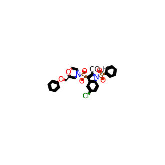 O=C(O)c1c(S(=O)(=O)N2CCO[C@H](COc3ccccc3)C2)c2cc(Cl)ccc2n1S(=O)(=O)c1ccccc1